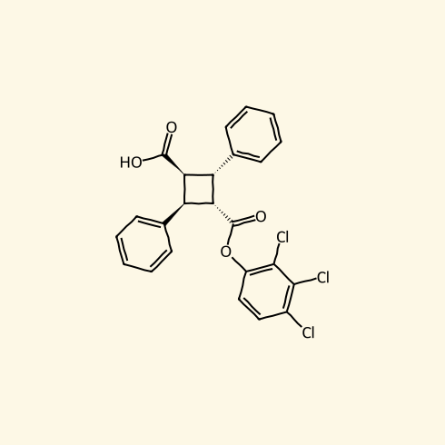 O=C(O)[C@H]1[C@H](c2ccccc2)[C@H](C(=O)Oc2ccc(Cl)c(Cl)c2Cl)[C@H]1c1ccccc1